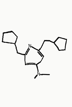 CN(C)c1cc(CC2CCCC2)nc(CC2CCCC2)c1